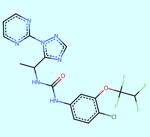 CC(NC(=O)Nc1ccc(Cl)c(OC(F)(F)C(F)F)c1)c1ncnn1-c1ncccn1